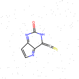 O=c1nc2c(c(=C=S)[nH]1)=NC=C2